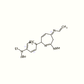 C=C/N=C1/C=CC(C(=C)/C=C\C(=C/CC)N(CC)CCCC)N=C(NC)C1